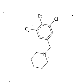 CCc1c(Cl)cc(CN2CCCCC2)cc1Cl